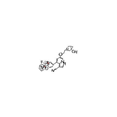 CC(F)(F)C(=O)N1C2CC1CN(c1ccc(-c3cc(OCCN4CC5CC5(O)C4)cn4ncc(C#N)c34)cn1)C2